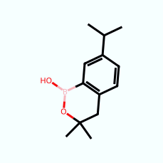 CC(C)c1ccc2c(c1)B(O)OC(C)(C)C2